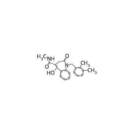 CNC(=O)C1=C(O)c2ccccc2N(Cc2cccc(C)c2C)C(=O)C1